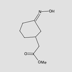 COC(=O)CC1CCCC(=NO)C1